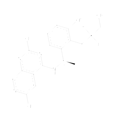 C[C@@H](Nc1nc(Cl)nc2cnc(Cl)cc12)c1cccc(C(F)(F)F)c1CC(F)(F)CO